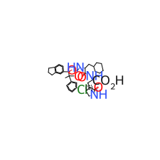 CC(C)(c1cccc(Cl)c1)C(OC(=O)NC(CC1CCCCC1)C(=O)NC(C[C@@H]1CCNC1=O)C(=O)O)c1ccc2c(c1)CCC2